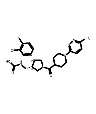 Cc1ccc(N2CCC(C(=O)N3C[C@H](CNC(=O)O)[C@H](c4ccc(Cl)c(Cl)c4)C3)CC2)nn1